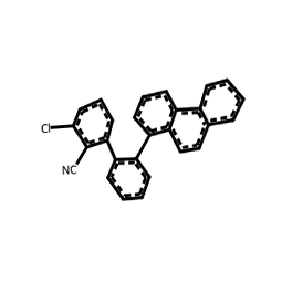 N#Cc1c(Cl)cccc1-c1ccccc1-c1cccc2c1ccc1ccccc12